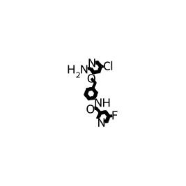 Nc1ncc(Cl)cc1OCc1cccc(NC(=O)c2cncc(F)c2)c1